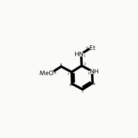 CCN[C]1NC=CC=C1COC